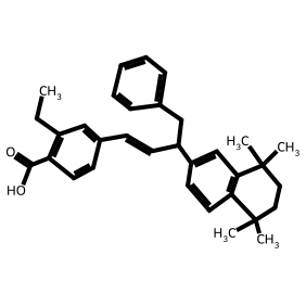 CCc1cc(C=CC(Cc2ccccc2)c2ccc3c(c2)C(C)(C)CCC3(C)C)ccc1C(=O)O